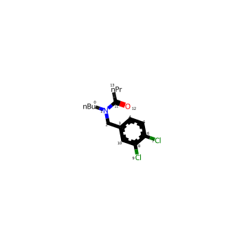 CCCCN(Cc1ccc(Cl)c(Cl)c1)C(=O)CCC